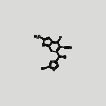 COC1=C(C(=O)c2csc(Br)c2)CC2=NC(C)=[C]C2=C1F